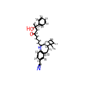 CC(O)(CC(=O)CCCC/C1=N/c2ccc(C#N)cc2CCC(C2(C)CCC2)C1)c1ccccc1